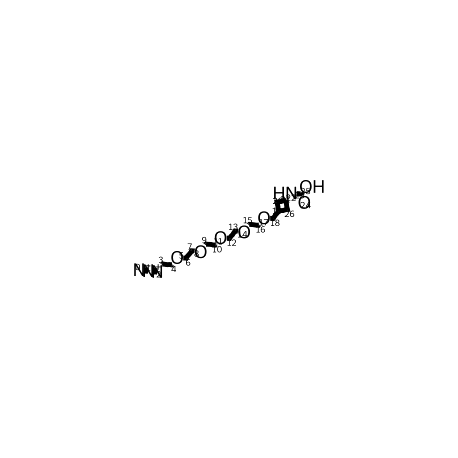 [N-]=[N+]=NCCOCCOCCOCCOCCOCC1CC(NC(=O)O)C1